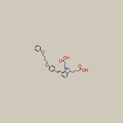 O=C(O)CCCC1CN(CCC(=O)O)c2c(/C=C/c3ccc(OCCCCOc4ccccc4)cc3)cccc21